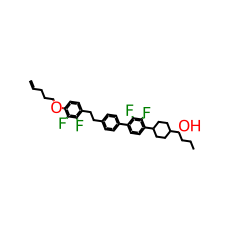 C=CCCCOc1ccc(CCc2ccc(-c3ccc(C4CCC(C(O)CCC)CC4)c(F)c3F)cc2)c(F)c1F